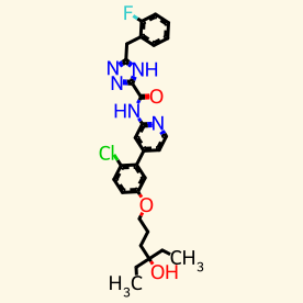 CCC(O)(CC)CCCOc1ccc(Cl)c(-c2ccnc(NC(=O)c3nnc(Cc4ccccc4F)[nH]3)c2)c1